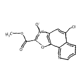 COC(=O)c1oc2c3ncccc3c(Cl)cc2[n+]1[O-]